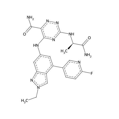 CCn1cc2c(-c3ccc(F)nc3)cc(Nc3nc(N[C@H](C)C(N)=O)nnc3C(N)=O)cc2n1